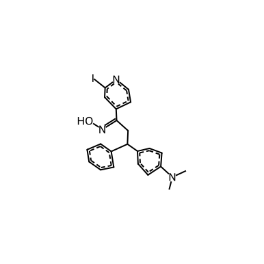 CN(C)c1ccc(C(CC(=NO)c2ccnc(I)c2)c2ccccc2)cc1